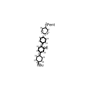 CCCCC[C@H]1CS[C@H](c2ccc(-c3ccc(C4CCC(CCCC)CC4)cc3F)cc2)SC1